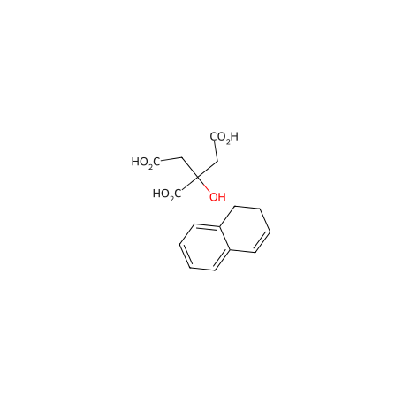 C1=Cc2ccccc2CC1.O=C(O)CC(O)(CC(=O)O)C(=O)O